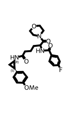 COc1ccc([C@@H]2C[C@H]2NC(=O)CCCC(NC(=O)c2ccc(F)cc2)C(=O)N2CCOCC2)cc1